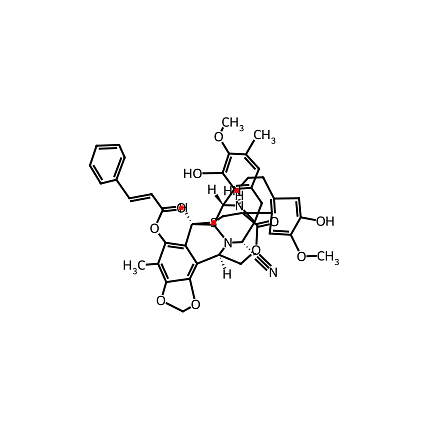 COc1cc2c(cc1O)CCN[C@]21CS[C@@H]2c3c(OC(=O)/C=C/c4ccccc4)c(C)c4c(c3[C@H](COC1=O)N1C2[C@H]2NC(Cc3cc(C)c(OC)c(O)c32)[C@@H]1C#N)OCO4